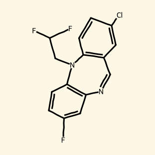 Fc1ccc2c(c1)N=Cc1cc(Cl)ccc1N2CC(F)F